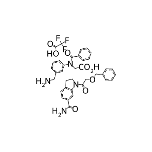 NC(=O)c1ccc2c(c1)N(C(=O)COCc1ccccc1)CC2.NCc1cccc(N(CC(=O)O)C(=O)c2ccccc2)c1.O=C(O)C(F)(F)F